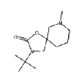 CN1CCCC2(C1)CN(C(C)(C)C)C(=O)O2